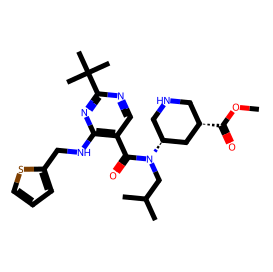 COC(=O)[C@H]1CNC[C@@H](N(CC(C)C)C(=O)c2cnc(C(C)(C)C)nc2NCc2cccs2)C1